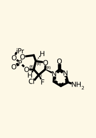 CC(C)OP1(=O)OC[C@H]2O[C@@H](n3ccc(N)nc3=O)[C@](F)(Cl)[C@@H]2O1